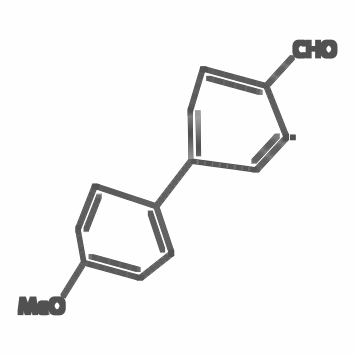 COc1ccc(-c2c[c]c(C=O)cc2)cc1